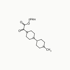 CCCCCCOC(=O)C(=O)N1CCN(C2CCN(C)CC2)CC1